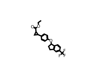 CCOC(=O)C1CC1c1ccc(OC2CCc3cc(C(F)(F)F)ccc32)cc1